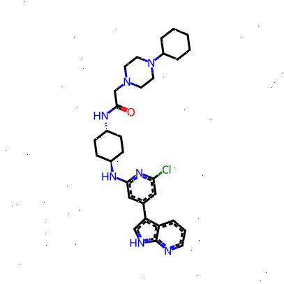 O=C(CN1CCN(C2CCCCC2)CC1)N[C@H]1CC[C@H](Nc2cc(-c3c[nH]c4ncccc34)cc(Cl)n2)CC1